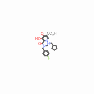 O=C(O)c1cn2c(c(O)c1=O)C(=O)N(Cc1ccc(F)cc1)CN2CC1CCCC1